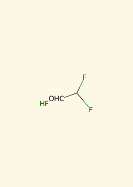 F.O=CC(F)F